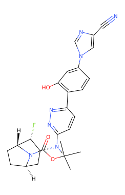 CN(c1ccc(-c2ccc(-n3cnc(C#N)c3)cc2O)nn1)[C@@H]1C[C@H]2CC[C@H]([C@@H]1F)N2C(=O)OC(C)(C)C